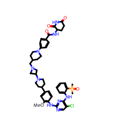 COc1cc(C2CCN(C3CN(CC4CCN(c5ccc(C(=O)NC6CCC(=O)NC6=O)cc5)CC4)C3)CC2)ccc1Nc1ncc(Cl)c(Nc2ccccc2P(C)(C)=O)n1